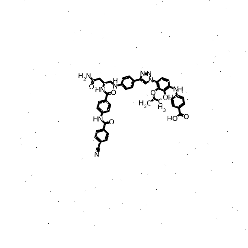 CC(C)Oc1c(-n2cc(-c3ccc(NCC(CC(N)=O)NC(=O)c4ccc(NC(=O)c5ccc(C#N)cc5)cc4)cc3)nn2)ccc(Nc2ccc(C(=O)O)cc2)c1O